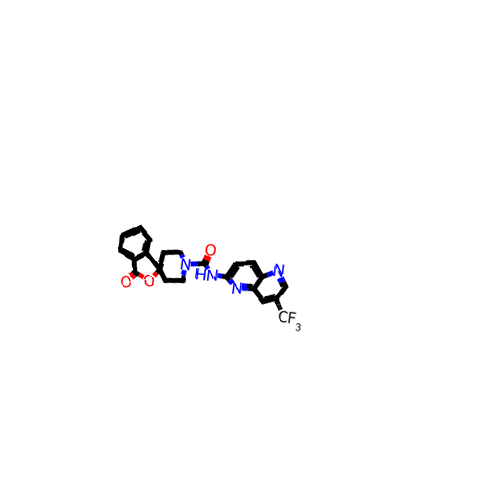 O=C1OC2(CCN(C(=O)Nc3ccc4ncc(C(F)(F)F)cc4n3)CC2)c2ccccc21